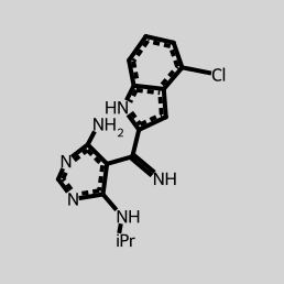 CC(C)Nc1ncnc(N)c1C(=N)c1cc2c(Cl)cccc2[nH]1